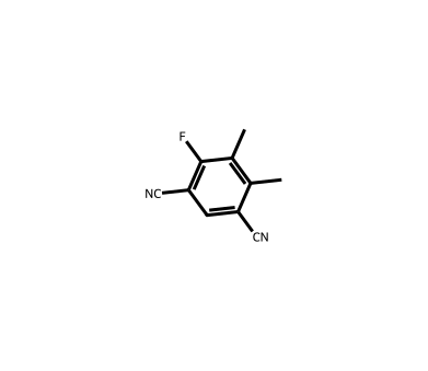 Cc1c(C#N)cc(C#N)c(F)c1C